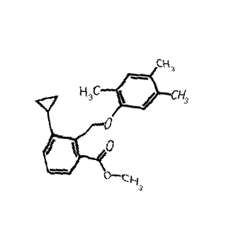 COC(=O)c1cccc(C2CC2)c1COc1cc(C)c(C)cc1C